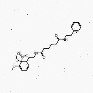 COC1=CC=CC(CCNC(=O)CCCCC(=O)NCCc2ccccc2)C1(OC)[N+](=O)[O-]